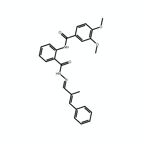 COc1ccc(C(=O)Nc2ccccc2C(=O)N/N=C/C(C)=C/c2ccccc2)cc1OC